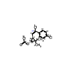 CC1(C)[C@H](/C=C(/Cl)c2ccc(Cl)cc2)[C@H]1OC(=O)Cl